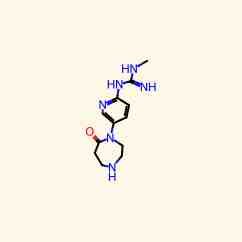 CNC(=N)Nc1ccc(N2CCNCCC2=O)cn1